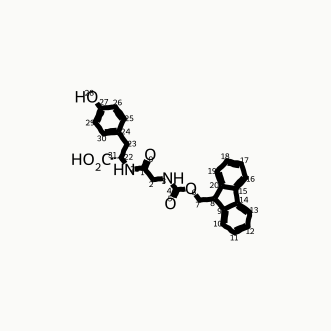 O=C(CNC(=O)OCC1c2ccccc2-c2ccccc21)N[C@@H](Cc1ccc(O)cc1)C(=O)O